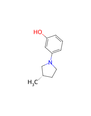 C[C@H]1CCN(c2cccc(O)c2)C1